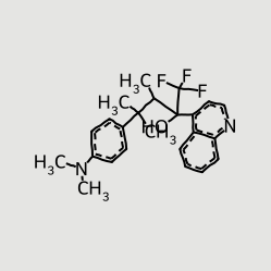 CC(C(C)(C)c1ccc(N(C)C)cc1)C(O)(c1ccnc2ccccc12)C(F)(F)F